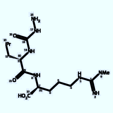 CNC(=N)NCCC[C@H](NC(=O)[C@H](CC(C)C)NC(=O)NN)C(=O)O